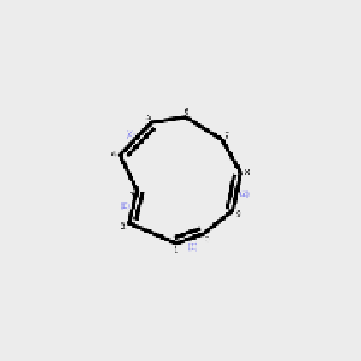 C1=C\C=C\C=C/CC\C=C/1